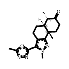 Cc1nnc(-c2c3c(nn2C)[C@@]2(C)CCC(=O)[C@@H](C)[C@@H]2CC3)o1